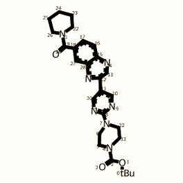 CC(C)(C)OC(=O)N1CCN(c2ncc(-c3cnc4ccc(C(=O)N5CCCCC5)cc4n3)cn2)CC1